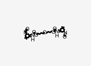 CC1(C)CC(N=C=O)CC(C)(CNC(=O)OCCCCOCCCCOC(=O)NCC2(C)CC(N=C=O)CC(C)(C)C2)C1